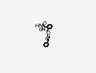 CNC(=O)C(=NOC)c1ccccc1COC=NOCc1ccccc1